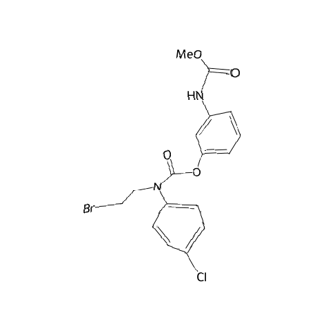 COC(=O)Nc1cccc(OC(=O)N(CCBr)c2ccc(Cl)cc2)c1